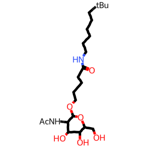 CC(=O)NC1C(OCCCCC(=O)NCCCCCCC(C)(C)C)OC(CO)C(O)C1O